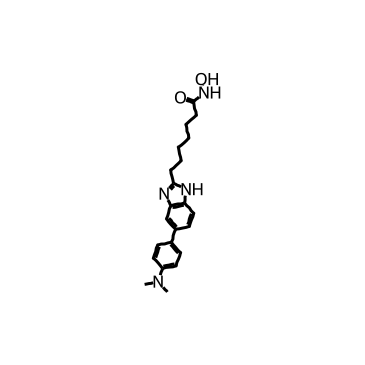 CN(C)c1ccc(-c2ccc3[nH]c(CCCCCCC(=O)NO)nc3c2)cc1